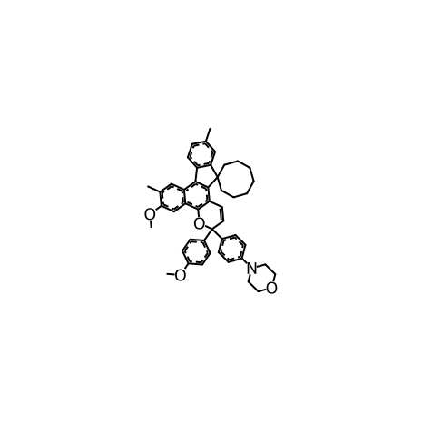 COc1ccc(C2(c3ccc(N4CCOCC4)cc3)C=Cc3c4c(c5cc(C)c(OC)cc5c3O2)-c2ccc(C)cc2C42CCCCCCC2)cc1